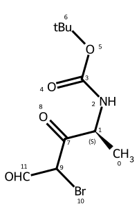 C[C@H](NC(=O)OC(C)(C)C)C(=O)C(Br)C=O